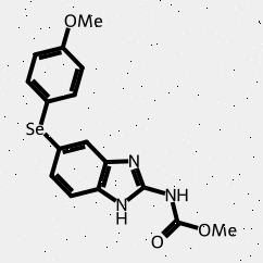 COC(=O)Nc1nc2cc([Se]c3ccc(OC)cc3)ccc2[nH]1